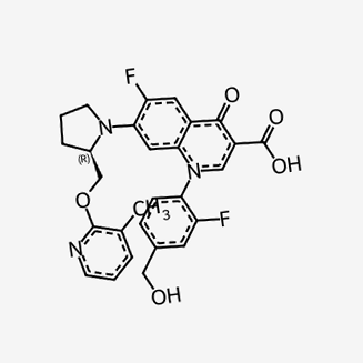 Cc1cccnc1OC[C@H]1CCCN1c1cc2c(cc1F)c(=O)c(C(=O)O)cn2-c1ccc(CO)cc1F